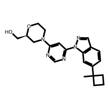 CC1(c2ccc3cnn(-c4cc(N5CCO[C@H](CO)C5)ncn4)c3c2)CCC1